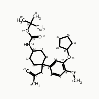 COc1ccc(C2(CC(C)=O)CCC(NC(=O)OC(C)(C)C)CC2)cc1OC1CCCC1